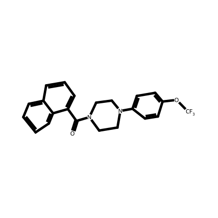 O=C(c1cccc2ccccc12)N1CCN(c2ccc(OC(F)(F)F)cc2)CC1